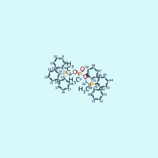 CP(=O)(OCP(C)(c1ccccc1)(c1ccccc1)c1ccccc1)OCP(C)(c1ccccc1)(c1ccccc1)c1ccccc1